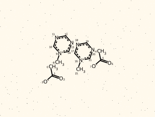 CC(=O)[O-].CC(=O)[O-].C[n+]1cncnc1.C[n+]1cncnc1